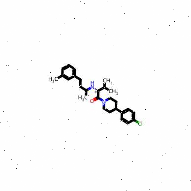 Cc1cccc(CCC(C)N[C@@H](C(=O)N2CCC(c3ccc(Cl)cc3)CC2)C(C)C)c1